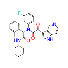 Cc1ccccc1C(C(=O)NC1CCCCC1)N(C(=O)C(=O)c1c[nH]c2ccncc12)c1cccc(F)c1